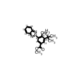 COC(=O)c1cc(-n2nc3ccccc3n2)c(O)c(C(C)(C)C)c1